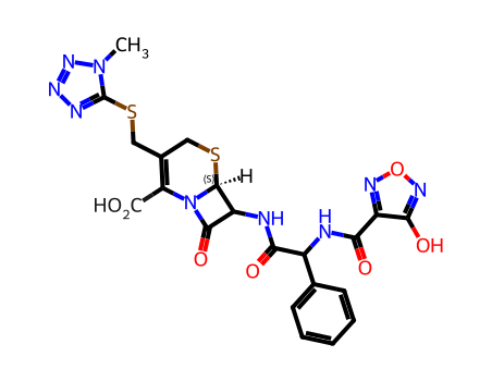 Cn1nnnc1SCC1=C(C(=O)O)N2C(=O)C(NC(=O)C(NC(=O)c3nonc3O)c3ccccc3)[C@@H]2SC1